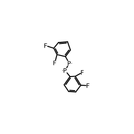 Fc1cccc([P][P]c2cccc(F)c2F)c1F